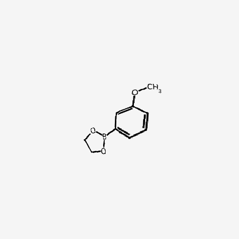 COc1cccc(B2OCCO2)c1